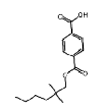 CCCCC(C)(C)COC(=O)c1ccc(C(=O)O)cc1